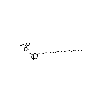 C=C(C)C(=O)OCCc1cc(CCCCCCCCCCCCCCCC)ccn1